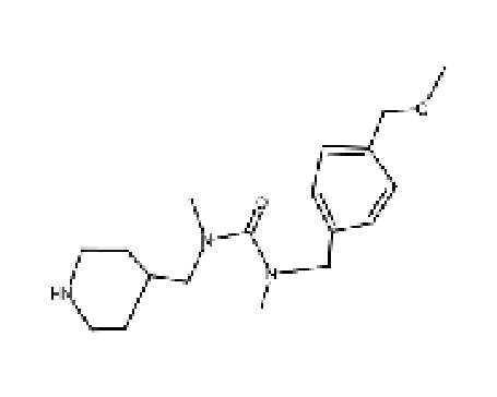 COCc1ccc(CN(C)C(=O)N(C)CC2CCNCC2)cc1